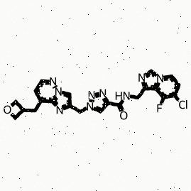 O=C(NCc1ncn2ccc(Cl)c(F)c12)c1cn(Cc2cn3nccc(CC4COC4)c3n2)nn1